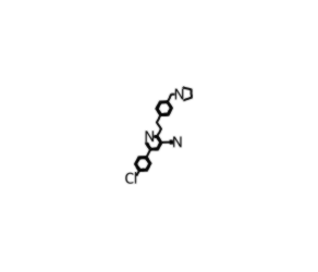 N#Cc1cc(-c2ccc(Cl)cc2)cnc1CCc1ccc(CN2CCCC2)cc1